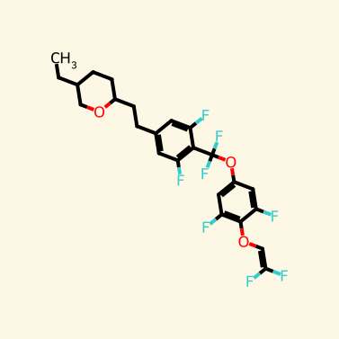 CCC1CCC(CCc2cc(F)c(C(F)(F)Oc3cc(F)c(OC=C(F)F)c(F)c3)c(F)c2)OC1